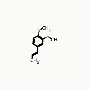 [CH2]C=Cc1ccc(SC)c(SC)c1